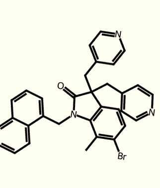 Cc1c(Br)ccc2c1N(Cc1cccc3ccccc13)C(=O)C2(Cc1ccncc1)Cc1ccncc1